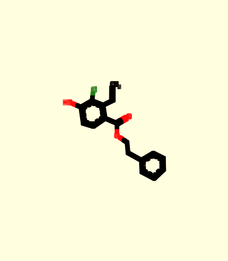 C=Cc1c(C(=O)OCCc2ccccc2)ccc(O)c1Cl